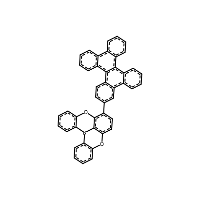 c1ccc2c(c1)Oc1ccc(-c3ccc4c(c3)c3ccccc3c3c5ccccc5c5ccccc5c43)c3c1B2c1ccccc1O3